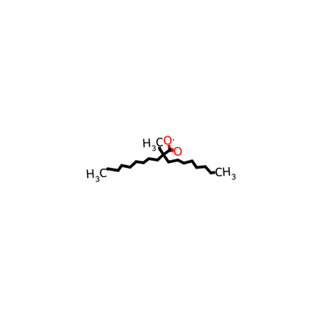 CCCCCCCCCC(CC)(CCCCCCCC)C([O])=O